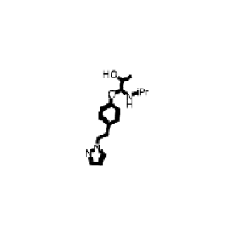 CC(C)NC(Oc1ccc(CCn2cccn2)cc1)C(C)O